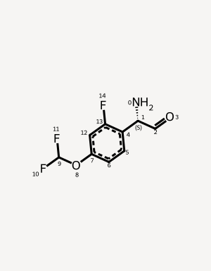 N[C@H](C=O)c1ccc(OC(F)F)cc1F